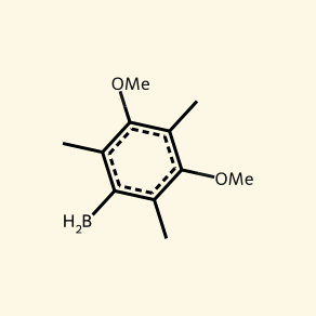 Bc1c(C)c(OC)c(C)c(OC)c1C